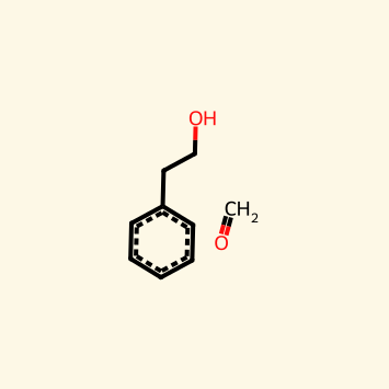 C=O.OCCc1ccccc1